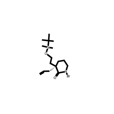 C=CC[C@]1(CCO[Si](C)(C)C(C)(C)C)CCCN(Br)C1=O